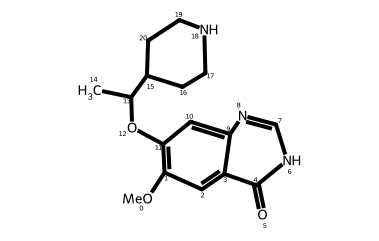 COc1cc2c(=O)[nH]cnc2cc1OC(C)C1CCNCC1